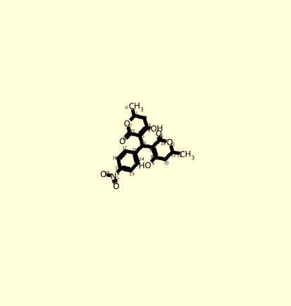 CC1CC(O)=C(C(C2=C(O)CC(C)OC2=O)c2ccc([N+](=O)[O-])cc2)C(=O)O1